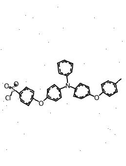 Cc1ccc(Oc2ccc(N(c3ccccc3)c3ccc(Oc4ccc(S(=O)(=O)Cl)cc4)cc3)cc2)cc1